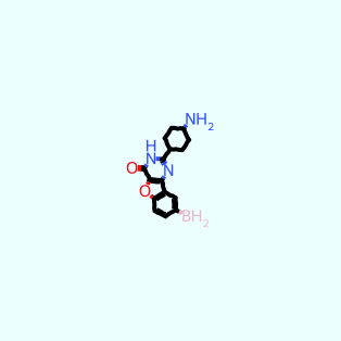 Bc1ccc2oc3c(=O)[nH]c(C4CCC(N)CC4)nc3c2c1